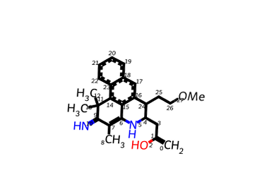 C=C(O)CC1NC2=C(C)C(=N)C(C)(C)c3c2c(cc2ccccc32)C1CCOC